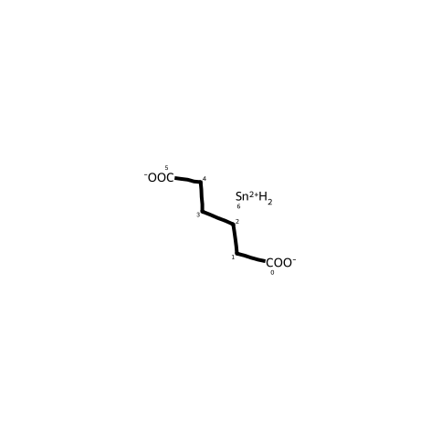 O=C([O-])CCCCC(=O)[O-].[SnH2+2]